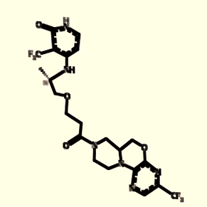 C[C@@H](COCCC(=O)N1CCN2c3ncc(C(F)(F)F)nc3OCC2C1)Nc1cc[nH]c(=O)c1C(F)(F)F